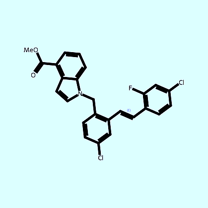 COC(=O)c1cccc2c1ccn2Cc1ccc(Cl)cc1/C=C/c1ccc(Cl)cc1F